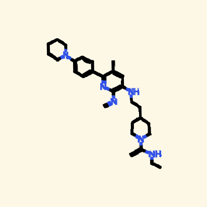 C=Nc1nc(-c2ccc(N3CCCCC3)cc2)c(C)cc1NCCC1CCN(C(=C)NCC)CC1